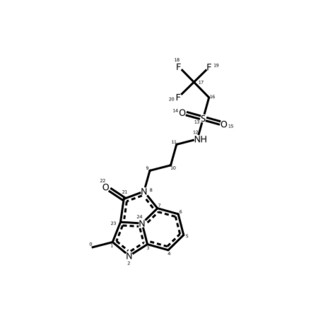 Cc1nc2cccc3n(CCCNS(=O)(=O)CC(F)(F)F)c(=O)c1n23